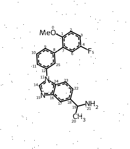 COc1ccc(F)cc1-c1cccc(-n2cnc3cc(C(C)N)ccc32)c1